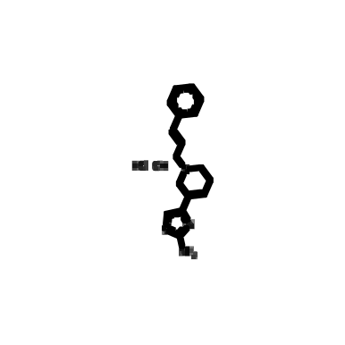 Cl.Cl.Nc1nc(C2=CCCN(CC=Cc3ccccc3)C2)cs1